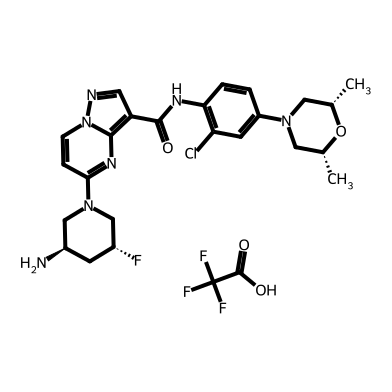 C[C@@H]1CN(c2ccc(NC(=O)c3cnn4ccc(N5C[C@H](N)C[C@@H](F)C5)nc34)c(Cl)c2)C[C@H](C)O1.O=C(O)C(F)(F)F